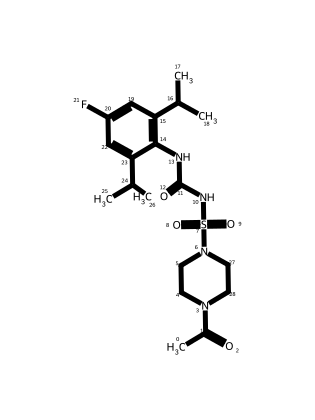 CC(=O)N1CCN(S(=O)(=O)NC(=O)Nc2c(C(C)C)cc(F)cc2C(C)C)CC1